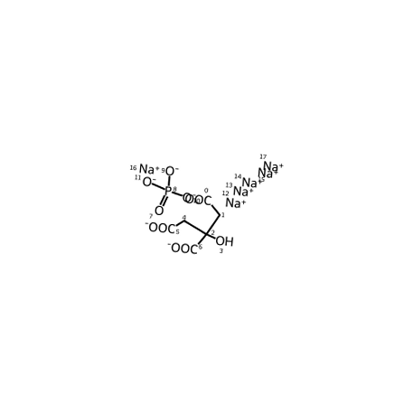 O=C([O-])CC(O)(CC(=O)[O-])C(=O)[O-].O=P([O-])([O-])[O-].[Na+].[Na+].[Na+].[Na+].[Na+].[Na+]